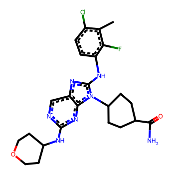 Cc1c(Cl)ccc(Nc2nc3cnc(NC4CCOCC4)nc3n2C2CCC(C(N)=O)CC2)c1F